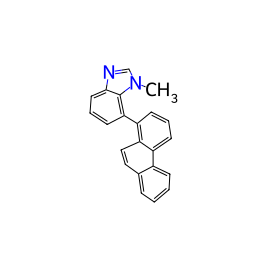 Cn1cnc2cccc(-c3cccc4c3ccc3ccccc34)c21